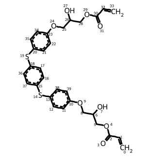 C=CC(=O)OCC(O)COc1ccc(Sc2ccc(Sc3ccc(OCC(O)COC(=O)C=C)cc3)cc2)cc1